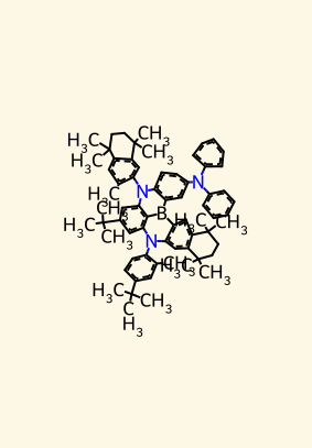 Cc1cc(C(C)(C)C)ccc1N1c2cc3c(cc2B2c4cc(N(c5ccccc5)c5ccccc5)ccc4N(c4cc5c(cc4C)C(C)(C)CCC5(C)C)c4cc(C(C)(C)C)cc1c42)C(C)(C)CCC3(C)C